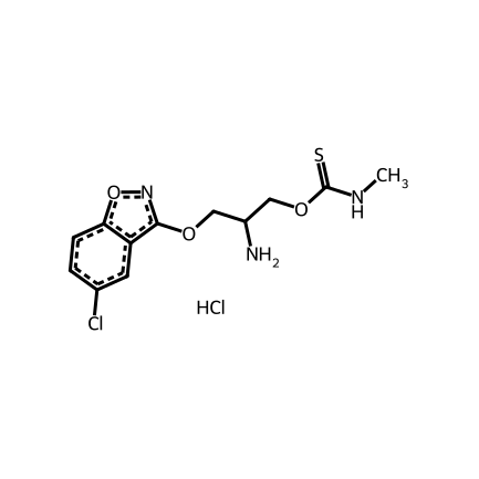 CNC(=S)OCC(N)COc1noc2ccc(Cl)cc12.Cl